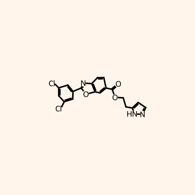 O=C(OCCc1ccn[nH]1)c1ccc2nc(-c3cc(Cl)cc(Cl)c3)oc2c1